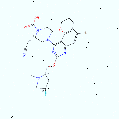 CN1C[C@H](F)C[C@H]1COc1nc(N2CCN(C(=O)O)[C@@H](CC#N)C2)c2c3c(c(Br)cc2n1)CCCO3